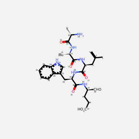 C=C(C)C[C@H](NC(=O)[C@H](NC(=O)[C@H](C)N)[C@@H](C)CC)C(=O)N[C@H](Cc1c[nH]c2ccccc12)C(=O)N[C@@H](C=O)CCC(=O)O